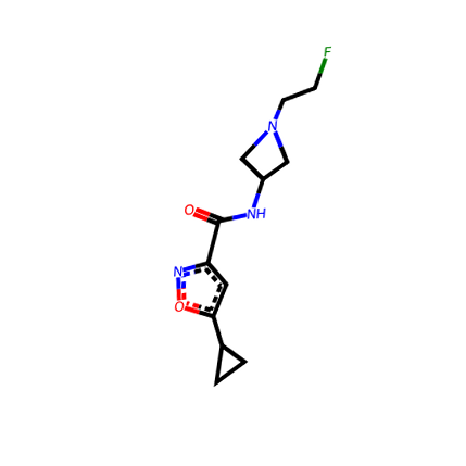 O=C(NC1CN(CCF)C1)c1cc(C2CC2)on1